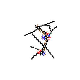 CCCCCCCCCCCCc1c2cc(-c3ccc(-c4c5c(c(-c6ccc(-c7cc8c(CCCCCCCCCCCC)c9sc(-c%10c(OCCCCCCCC)c(OCCCCCCCC)c(C)c%11nsnc%10%11)cc9c(CCCCCCCCCCCC)c8s7)s6)c6nsnc46)C(=O)N(CCCC(CCCCCC)CCCCCCCC)C5=O)s3)sc2c(CCCCCCCCCCCC)c2cc(C)sc12